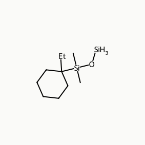 CCC1([Si](C)(C)O[SiH3])CCCCC1